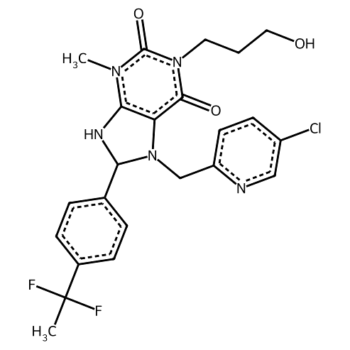 Cn1c2c(c(=O)n(CCCO)c1=O)N(Cc1ccc(Cl)cn1)C(c1ccc(C(C)(F)F)cc1)N2